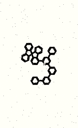 c1ccc(-c2cccc(-c3cccc(-c4cc(-c5ccccc5)cc(-c5cccc6c5-c5ccccc5C65c6ccccc6-c6ccccc65)n4)c3)c2)cc1